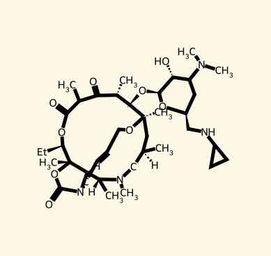 CC[C@H]1OC(=O)C(C)C(=O)[C@H](C)[C@@H](O[C@@H]2O[C@H](CNC3CC3)CC(N(C)C)[C@H]2O)[C@@]2(C)C[C@@H](C)CN(C)[C@H](C)[C@H]3N(C/C=C/CO2)C(=O)O[C@]13C